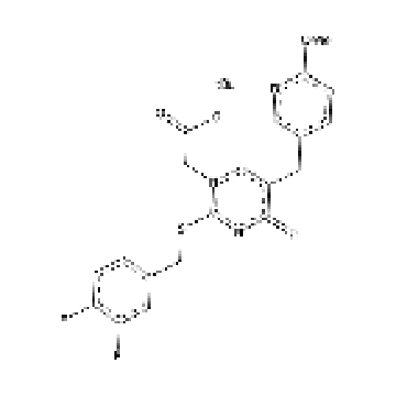 COc1ncc(Cc2cn(CC(=O)OC(C)(C)C)c(SCc3ccc(F)c(F)c3)nc2=O)cn1